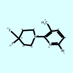 Cc1ccc(Br)nc1N1CCC(F)(F)CC1